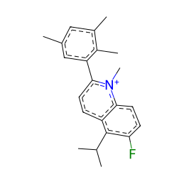 Cc1cc(C)c(C)c(-c2ccc3c(C(C)C)c(F)ccc3[n+]2C)c1